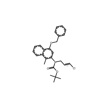 Cc1c(N(C/C=C/Cl)C(=O)OC(C)(C)C)cc(OCc2ccccc2)c2ccccc12